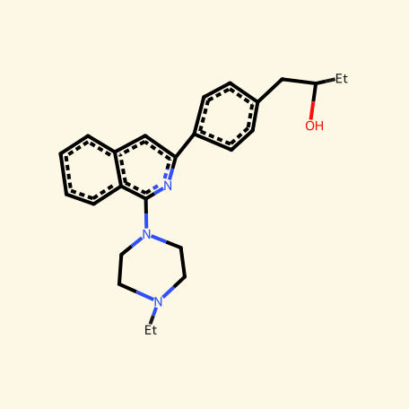 CCC(O)Cc1ccc(-c2cc3ccccc3c(N3CCN(CC)CC3)n2)cc1